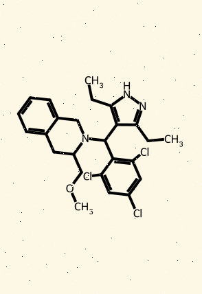 CCc1n[nH]c(CC)c1C(c1c(Cl)cc(Cl)cc1Cl)N1Cc2ccccc2CC1COC